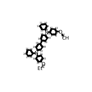 C#COc1ccc(N(c2ccccc2)c2ccc(-c3ccc(N(c4ccccc4)c4ccc(OCC)cc4)cc3)cc2)cc1